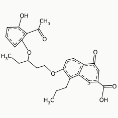 CCCc1c(OCCC(CC)Oc2cccc(O)c2C(C)=O)ccc2c(=O)cc(C(=O)O)sc12